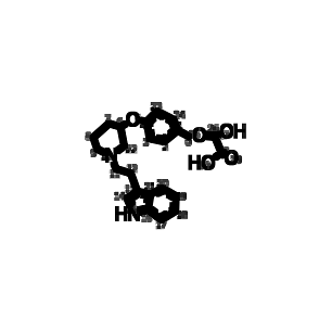 Cc1ccc(OC2CCCN(CCc3c[nH]c4ccccc34)C2)cc1.O=C(O)C(=O)O